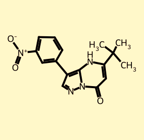 CC(C)(C)c1cc(=O)n2ncc(-c3cccc([N+](=O)[O-])c3)c2[nH]1